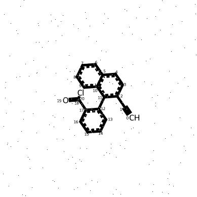 C#Cc1ccc2ccccc2c1-c1ccccc1C(=O)Cl